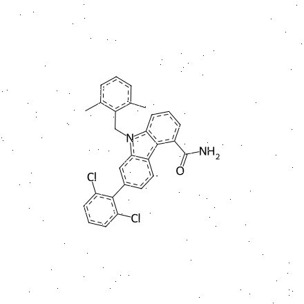 Cc1cccc(C)c1Cn1c2cc(-c3c(Cl)cccc3Cl)c[c]c2c2c(C(N)=O)cccc21